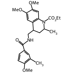 CCOC(=O)N1c2cc(OC)c(OC)cc2C(CNC(=O)c2ccc(OC)c(C)c2)CC1C